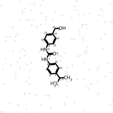 CC(C)c1ccc(NC(=O)Nc2ccc(CO)cc2)cc1